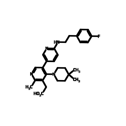 Cc1ncc(-c2ccc(NCCc3ccc(F)cc3)nc2)c(N2CCC(C)(C)CC2)c1CC(=O)O